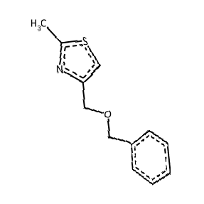 Cc1nc(COCc2ccccc2)cs1